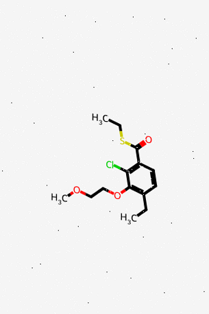 CCSC(=O)c1ccc(CC)c(OCCOC)c1Cl